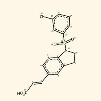 O=C(O)/C=C/c1cnc2c(c1)CCN2S(=O)(=O)c1cccc(Cl)c1